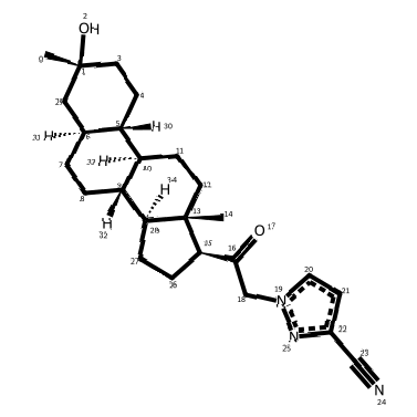 C[C@@]1(O)CC[C@H]2[C@@H](CC[C@@H]3[C@@H]2CC[C@]2(C)[C@@H](C(=O)Cn4ccc(C#N)n4)CC[C@@H]32)C1